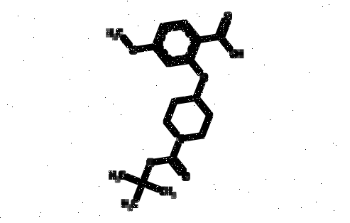 COc1ccc(C(=O)O)c(OC2CCN(C(=O)OC(C)(C)C)CC2)c1